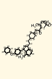 CC(C)C[C@H](C(=O)NC1CCC(CCC2N=C(c3ccc(Oc4ccccc4)cc3)c3c(N)ncnc32)CC1)N(C)C